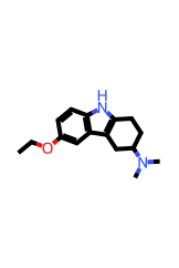 CCOc1ccc2[nH]c3c(c2c1)CC(N(C)C)CC3